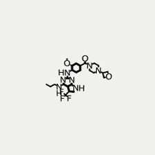 CCCNc1nc(Nc2ccc(C(=O)N3CCN(C4COC4)CC3)cc2OC)nc2[nH]cc(C(F)(F)F)c12